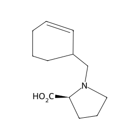 O=C(O)[C@@H]1CCCN1CC1C=CCCC1